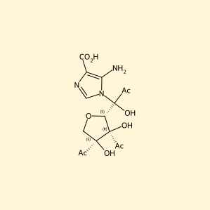 CC(=O)C(O)([C@H]1OC[C@@](O)(C(C)=O)[C@@]1(O)C(C)=O)n1cnc(C(=O)O)c1N